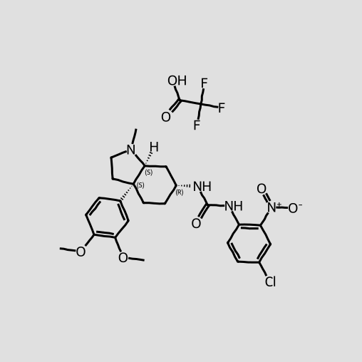 COc1ccc([C@@]23CC[C@@H](NC(=O)Nc4ccc(Cl)cc4[N+](=O)[O-])C[C@@H]2N(C)CC3)cc1OC.O=C(O)C(F)(F)F